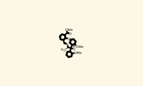 COC(=O)c1cccc(C=N[C@H](C)C(O)(c2ccccc2OC)c2ccccc2OC)c1O